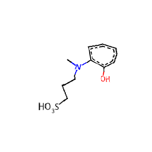 CN(CCCS(=O)(=O)O)c1ccccc1O